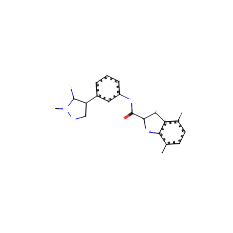 Cc1ccc(F)c2c1NC(C(=O)Nc1cccc(C3CNN(C)C3N)c1)C2